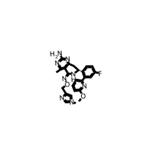 COc1cccc(-c2cc(F)ccc2[C@H]2Cc3nc(N)nc(C)c3/C(=N/OCc3cn(C)cn3)N2)n1